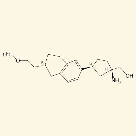 CCCOCC[C@@H]1CCc2cc([C@H]3CC[C@](N)(CO)C3)ccc2C1